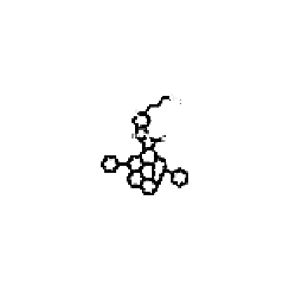 CCCCc1cc2c(cn1)nc1c3c4cc(-c5ccccc5)c5ccc6ccc7c(-c8ccccc8)cc(c3c(=O)n21)c1c7c6c5c41